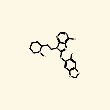 CC(C)N1CCCCC1CCn1c(Sc2cc3c(cc2Br)OCO3)nc2c(N)ncnc21